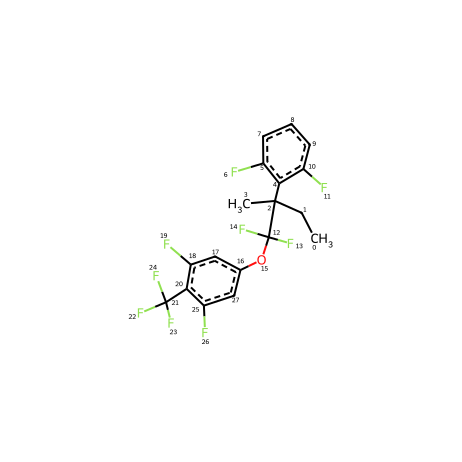 CCC(C)(c1c(F)cccc1F)C(F)(F)Oc1cc(F)c(C(F)(F)F)c(F)c1